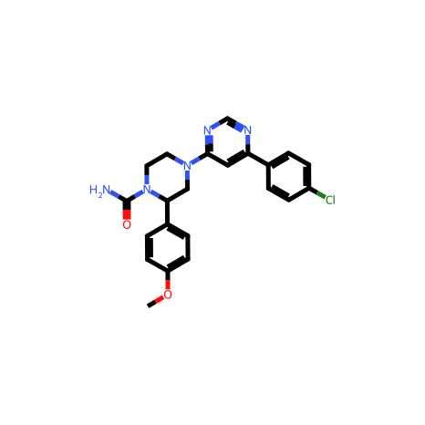 COc1ccc(C2CN(c3cc(-c4ccc(Cl)cc4)ncn3)CCN2C(N)=O)cc1